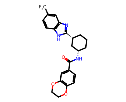 O=C(N[C@H]1CCC[C@@H](c2nc3cc(C(F)(F)F)ccc3[nH]2)C1)c1ccc2c(c1)OCCO2